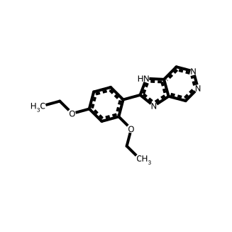 CCOc1ccc(-c2nc3cnncc3[nH]2)c(OCC)c1